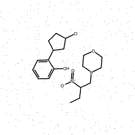 CCC(CN1CCOCC1)[N+](=O)[O-].Oc1ccccc1C1CCC(Cl)C1